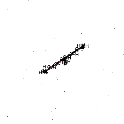 CC(C)(C)OC(=O)Nc1cc(C(=O)NCCCOCCOCCOCCCNC(=O)CCCCC2SCC3NC(=O)NC32)cc(C(=O)NCCCOCCOCCOCCCNC(=O)CCCCC2SCC3NC(=O)NC32)c1